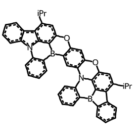 CC(C)c1cc2c3c4c1-c1ccccc1B4c1ccccc1N3c1cc3c(cc1O2)Oc1cc(C(C)C)c2c4ccccc4n4c2c1B3c1ccccc1-4